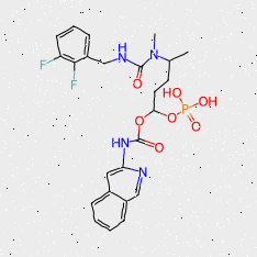 CC(CCC(OC(=O)Nc1cc2ccccc2cn1)OP(=O)(O)O)N(C)C(=O)NCc1cccc(F)c1F